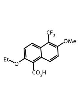 CCOc1ccc2c(C(F)(F)F)c(OC)ccc2c1C(=O)O